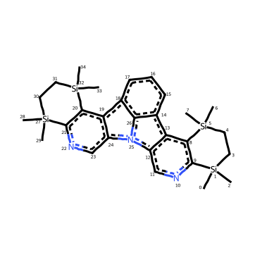 C[Si]1(C)CC[Si](C)(C)c2c1ncc1c2c2cccc3c4c5c(ncc4n1c23)[Si](C)(C)CC[Si]5(C)C